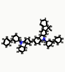 CC1(C)c2ccccc2-c2cc3c4cc(-c5ccc6c(c5)c5ccccc5n6-c5cccc(-c6ccccc6)c5)ccc4n(-c4cccc(-c5ccccc5)c4)c3cc21